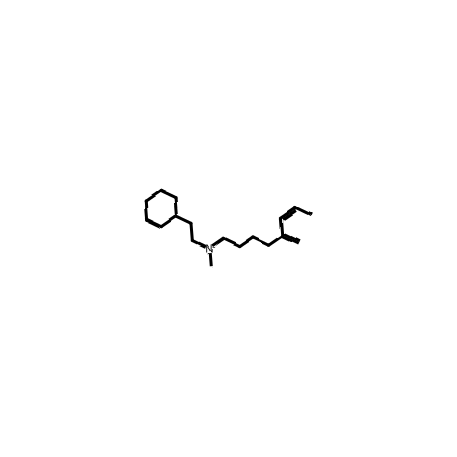 C=C(/C=C\C)CCCCN(C)CCC1CCCCC1